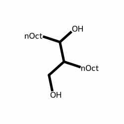 CCCCCCCCC(O)C(CO)CCCCCCCC